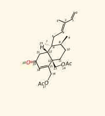 C=C/C(C)=C/C[C@@]1(C)[C@@H](C)CC[C@]2(COC(C)=O)C(COC(C)=O)=CC(=O)C[C@@H]21